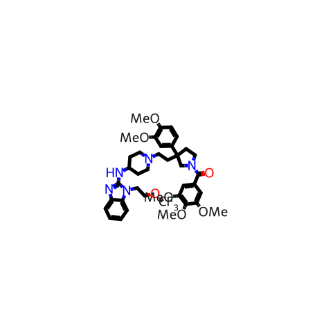 COc1ccc(C2(CCN3CCC(Nc4nc5ccccc5n4CCOC(F)(F)F)CC3)CCN(C(=O)c3cc(OC)c(OC)c(OC)c3)C2)cc1OC